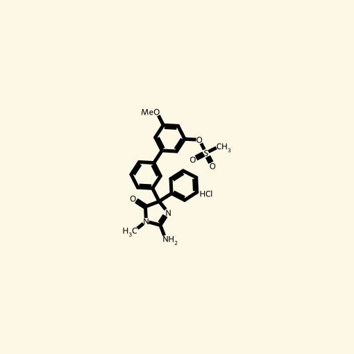 COc1cc(OS(C)(=O)=O)cc(-c2cccc(C3(c4ccccc4)N=C(N)N(C)C3=O)c2)c1.Cl